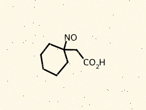 O=NC1(CC(=O)O)CCCCC1